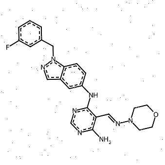 Nc1ncnc(Nc2ccc3c(cnn3Cc3cccc(F)c3)c2)c1C=NN1CCOCC1